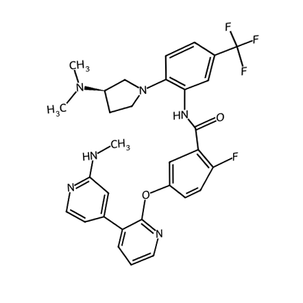 CNc1cc(-c2cccnc2Oc2ccc(F)c(C(=O)Nc3cc(C(F)(F)F)ccc3N3CC[C@@H](N(C)C)C3)c2)ccn1